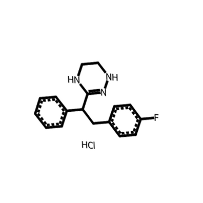 Cl.Fc1ccc(CC(C2=NNCCN2)c2ccccc2)cc1